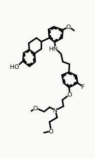 COCCN(CCOC)CCOc1ccc(CCCNc2cc(OC)ccc2C2CCc3cc(O)ccc3C2)cc1F